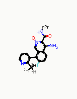 [2H]C([2H])([2H])c1ncccc1-c1c(F)ccc2c(N)c(C(=O)NCCC)[n+]([O-])cc12